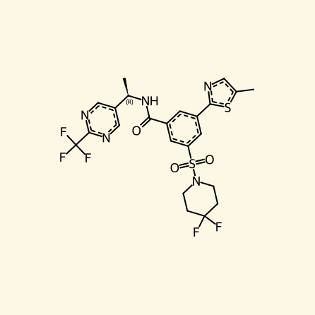 Cc1cnc(-c2cc(C(=O)N[C@H](C)c3cnc(C(F)(F)F)nc3)cc(S(=O)(=O)N3CCC(F)(F)CC3)c2)s1